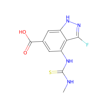 CNC(=S)Nc1cc(C(=O)O)cc2[nH]nc(F)c12